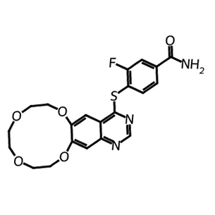 NC(=O)c1ccc(Sc2ncnc3cc4c(cc23)OCCOCCOCCO4)c(F)c1